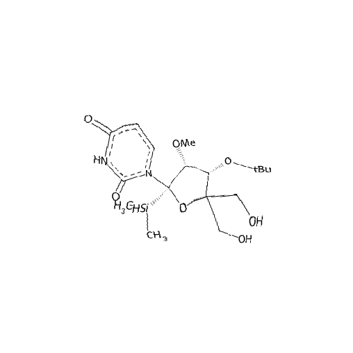 CO[C@@H]1[C@H](OC(C)(C)C)C(CO)(CO)O[C@]1(n1ccc(=O)[nH]c1=O)[SiH](C)C